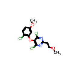 COCCc1nc(Cl)c(Oc2cc(OC)ccc2Cl)c(Cl)n1